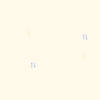 [c]1sncc1-c1nccs1